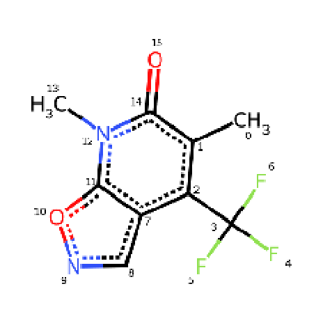 Cc1c(C(F)(F)F)c2cnoc2n(C)c1=O